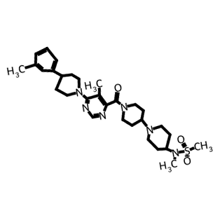 Cc1cccc(C2CCN(c3ncnc(C(=O)N4CCC(N5CCC(N(C)S(C)(=O)=O)CC5)CC4)c3C)CC2)c1